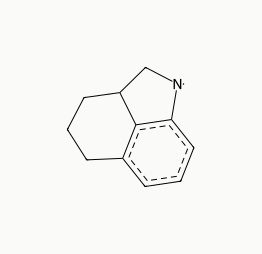 c1cc2c3c(c1)[N]CC3CCC2